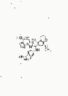 COc1cc(C(Nc2ccc3c(c2)CNC3=N)c2nn(-c3ncsc3C(=O)O)c(=O)[nH]2)c(F)c2c1OCCC2